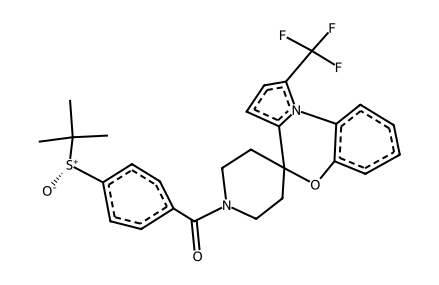 CC(C)(C)[S@@+]([O-])c1ccc(C(=O)N2CCC3(CC2)Oc2ccccc2-n2c(C(F)(F)F)ccc23)cc1